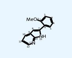 COc1ccccc1-c1cc2cccnc2[nH]1